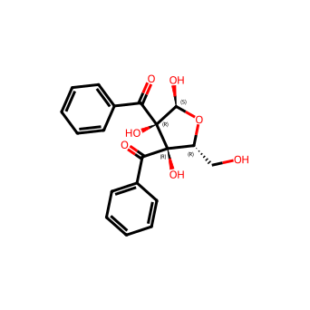 O=C(c1ccccc1)[C@@]1(O)[C@@H](CO)O[C@H](O)[C@@]1(O)C(=O)c1ccccc1